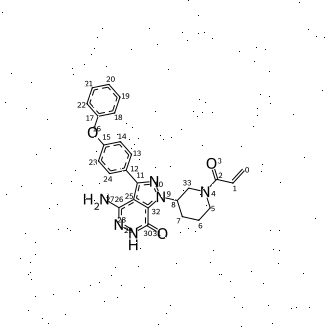 C=CC(=O)N1CCCC(n2nc(-c3ccc(Oc4ccccc4)cc3)c3c(N)n[nH]c(=O)c32)C1